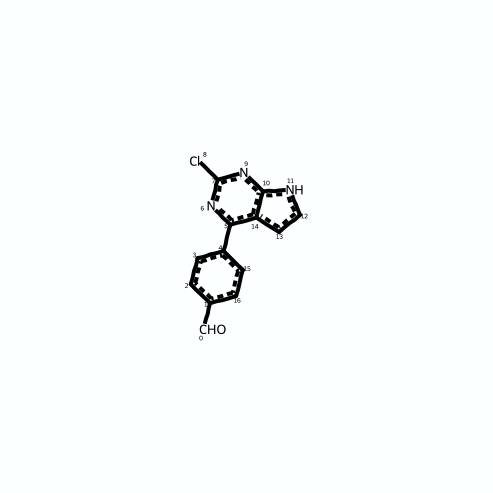 O=Cc1ccc(-c2nc(Cl)nc3[nH]ccc23)cc1